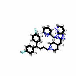 Fc1ccc(C(CCCN2CCC(Cc3nc4cccnc4n3Cc3ccccn3)CC2)c2ccc(F)cc2)cc1